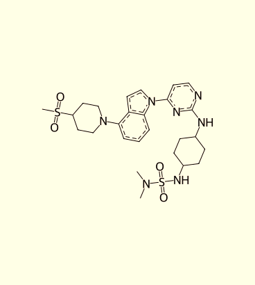 CN(C)S(=O)(=O)NC1CCC(Nc2nccc(-n3ccc4c(N5CCC(S(C)(=O)=O)CC5)cccc43)n2)CC1